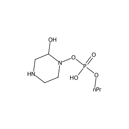 CCCOP(=O)(O)ON1CCNCC1O